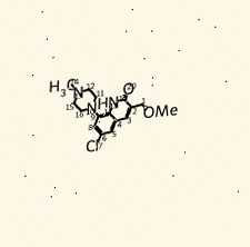 COCc1cc2cc(Cl)cc(N3CCN(C)CC3)c2[nH]c1=O